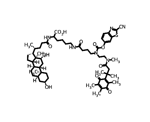 CC1=C(C)C(=O)C(C(C)(C)CC(=O)N(C)CCN(CCCC(=O)NCCCCC(NC(=O)CC[C@@H](C)[C@H]2CC[C@H]3[C@@H]4CC[C@@H]5C[C@H](O)CC[C@]5(C)[C@H]4C[C@H](O)[C@]23C)C(=O)O)C(=O)Oc2ccc3nc(C#N)sc3c2)=C(C)C1=O